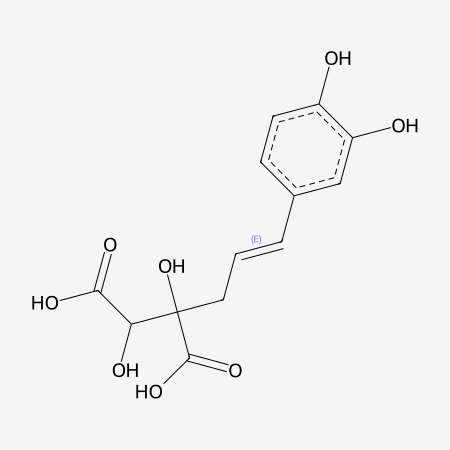 O=C(O)C(O)C(O)(C/C=C/c1ccc(O)c(O)c1)C(=O)O